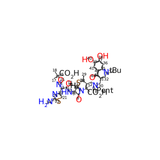 CCCCCN(CC1=C(C(=O)O)N2C(=O)[C@@H](NC(=O)/C(=N\OC(C)(C)C(=O)O)c3csc(N)n3)[C@H]2S[C@H]1C)Cc1cn(C(C)(C)C)c2cc(O)c(O)cc2c1=O